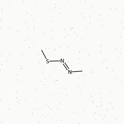 CN=NSC